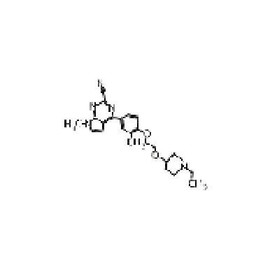 CCN1CCC(OCCOc2ccc(-c3nc(C#N)nc4c3ccn4C)cc2C)CC1